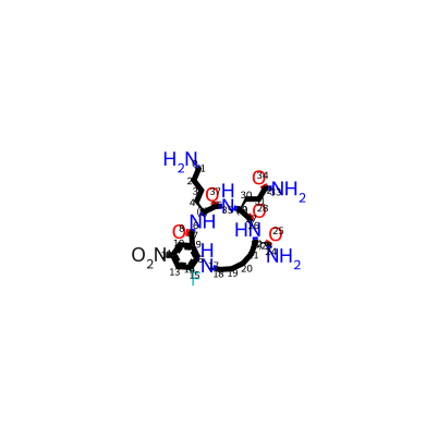 NCCCC[C@@H]1NC(=O)c2cc([N+](=O)[O-])cc(F)c2NCCCC[C@@H](C(N)=O)NC(=O)[C@H](CCC(N)=O)NC1=O